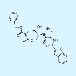 CC(C)C[C@H](NC(=O)c1cc2ccccc2o1)C(=O)N[C@H]1CC[C@@H](C)N(C(=O)OCc2ccccc2)C[C@@H]1O